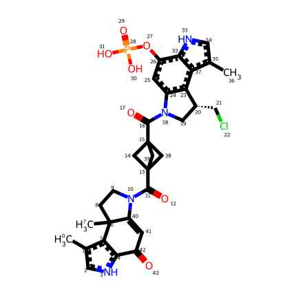 Cc1c[nH]c2c1C1(C)CCN(C(=O)C34CC(C(=O)N5C[C@@H](CCl)c6c5cc(OP(=O)(O)O)c5[nH]cc(C)c65)(C3)C4)C1=CC2=O